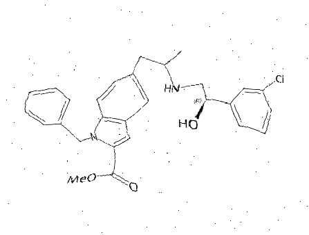 COC(=O)c1cc2cc(CC(C)NC[C@H](O)c3cccc(Cl)c3)ccc2n1Cc1ccccc1